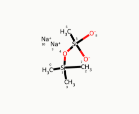 C[Si](C)(C)O[Si](C)([O-])[O-].[Na+].[Na+]